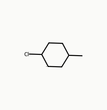 CC1C[CH]C(Cl)CC1